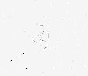 CC(=O)c1cnc(C(=O)O)c2ccoc12